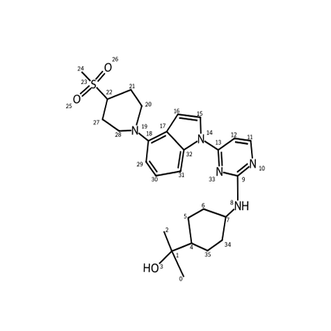 CC(C)(O)C1CCC(Nc2nccc(-n3ccc4c(N5CCC(S(C)(=O)=O)CC5)cccc43)n2)CC1